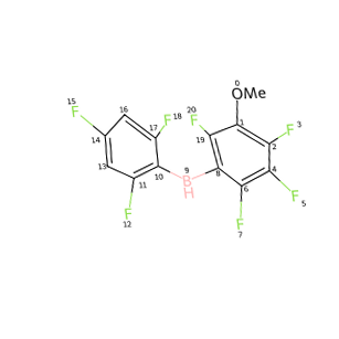 COc1c(F)c(F)c(F)c(Bc2c(F)cc(F)cc2F)c1F